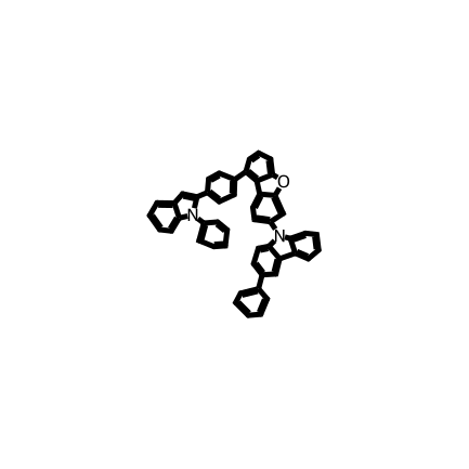 c1ccc(-c2ccc3c(c2)c2ccccc2n3-c2ccc3c(c2)oc2cccc(-c4ccc(-c5cc6ccccc6n5-c5ccccc5)cc4)c23)cc1